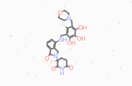 BC1(N2Cc3c(NCc4c(O)c(O)c(O)c(CN5CCOCC5)c4F)cccc3C2=O)CCC(=O)NC1=O